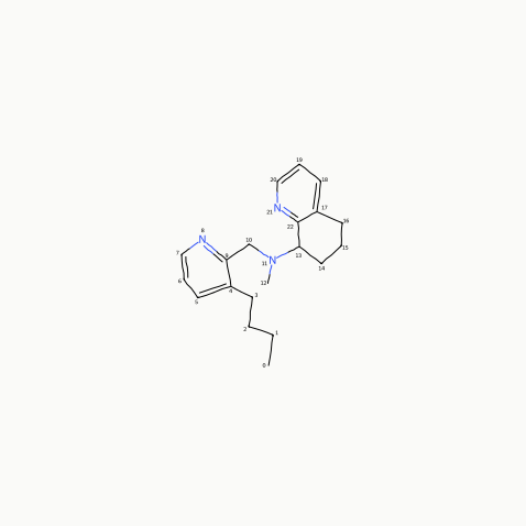 CCCCc1cccnc1CN(C)C1CCCc2cccnc21